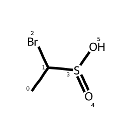 CC(Br)S(=O)O